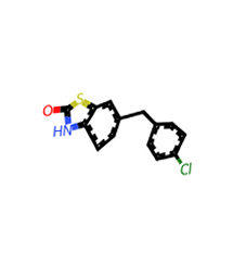 O=c1[nH]c2ccc(Cc3ccc(Cl)cc3)cc2s1